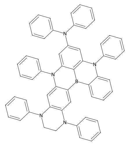 c1ccc(N2CCN(c3ccccc3)c3cc4c(cc32)B2c3ccccc3N(c3ccccc3)c3cc(N(c5ccccc5)c5ccccc5)cc(c32)N4c2ccccc2)cc1